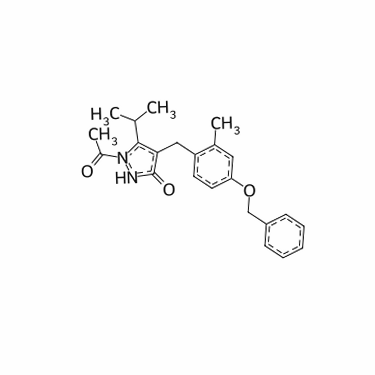 CC(=O)n1[nH]c(=O)c(Cc2ccc(OCc3ccccc3)cc2C)c1C(C)C